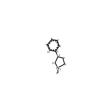 CN1CC[C@H](c2ccccc2)C1